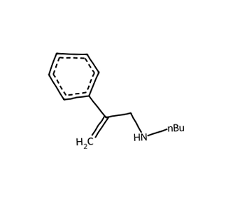 C=C(CNCCCC)c1ccccc1